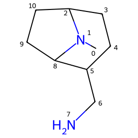 CN1C2CCC(CN)C1CC2